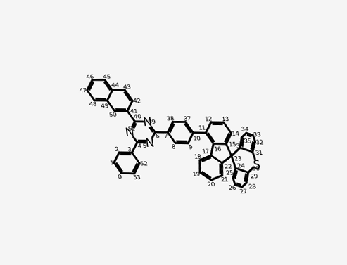 c1ccc(-c2nc(-c3ccc(-c4cccc5c4-c4ccccc4C54c5ccccc5Sc5ccccc54)cc3)nc(-c3ccc4ccccc4c3)n2)cc1